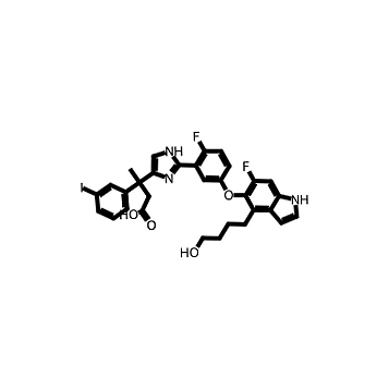 CC(CC(=O)O)(c1cccc(I)c1)c1c[nH]c(-c2cc(Oc3c(F)cc4[nH]ccc4c3CCCCO)ccc2F)n1